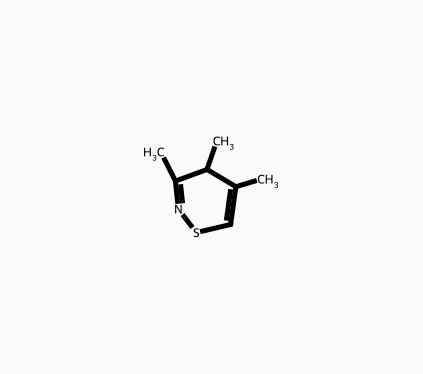 CC1=CSN=C(C)C1C